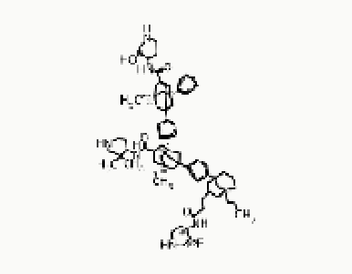 CCC[C@@]12CCC[C@@](c3ccc(C45CC6(C(=O)NC7CCNCC7(C)C)C[C@](CC)(C4)C[C@@](c4ccc(C78CC9(C(=O)N[C@@H]%10CCNC[C@H]%10O)C[C@](CC)(C7)C[C@@](c7ccccc7)(C9)C8)cc4)(C6)C5)cc3)(CC(CCC(=O)N[C@@H]3CCNC[C@@H]3F)C1)C2